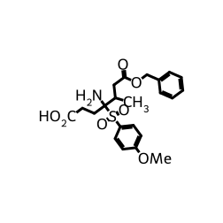 COc1ccc(S(=O)(=O)C(N)(CCC(=O)O)C(C)CC(=O)OCc2ccccc2)cc1